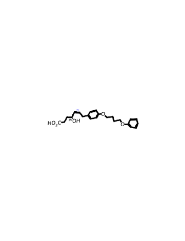 O=C(O)CC[C@@H](O)/C=C\Cc1ccc(OCCCCOc2ccccc2)cc1